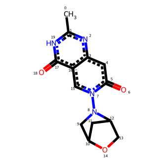 Cc1nc2cc(=O)n(N3CC4CC3CO4)cc2c(=O)[nH]1